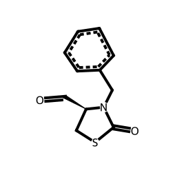 O=C[C@@H]1CSC(=O)N1Cc1ccccc1